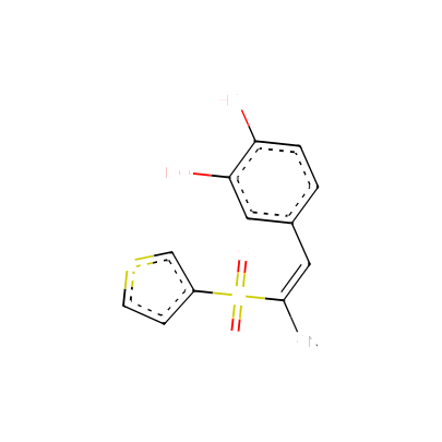 N#CC(=Cc1ccc(O)c(O)c1)S(=O)(=O)c1ccsc1